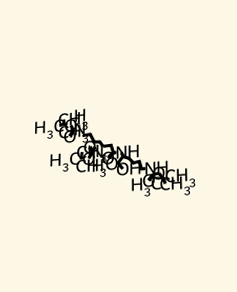 CC(C)(C)OC(=O)NCCCCC(CC(=O)NC(CCCCNC(=O)OC(C)(C)C)C(=O)O)NC(=O)OC(C)(C)C